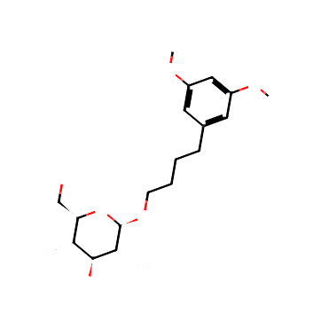 COc1cc(CCCCO[C@@H]2O[C@H](CO)[C@@H](O)[C@H](O)[C@H]2O)cc(OC)c1